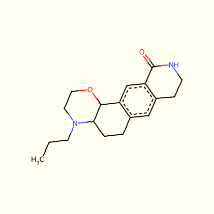 CCCN1CCOC2c3cc4c(cc3CCC21)CCNC4=O